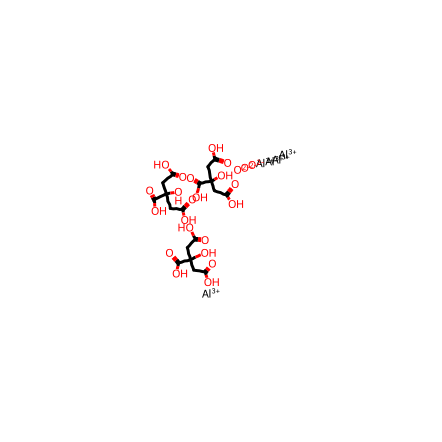 O=C(O)CC(O)(CC(=O)O)C(=O)O.O=C(O)CC(O)(CC(=O)O)C(=O)O.O=C(O)CC(O)(CC(=O)O)C(=O)O.[Al+3].[Al+3].[Al+3].[Al+3].[Al+3].[O-2].[O-2].[O-2]